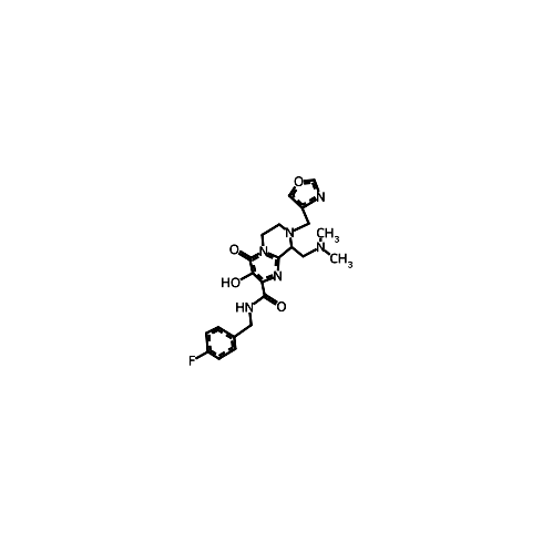 CN(C)CC1c2nc(C(=O)NCc3ccc(F)cc3)c(O)c(=O)n2CCN1Cc1cocn1